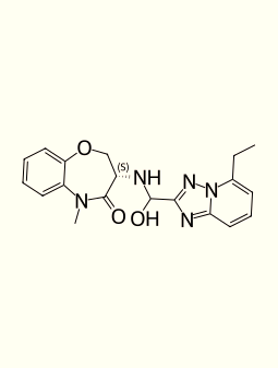 CCc1cccc2nc(C(O)N[C@H]3COc4ccccc4N(C)C3=O)nn12